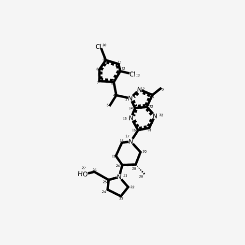 Cc1nn(C(C)c2ccc(Cl)cc2Cl)c2nc(N3CCC(N4CCCC4CO)[C@@H](C)C3)cnc12